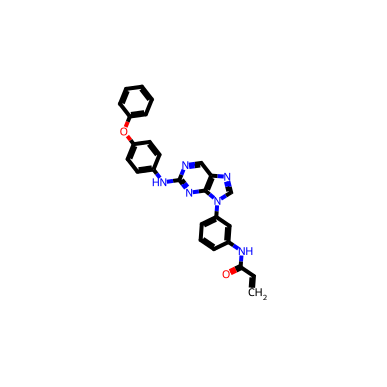 C=CC(=O)Nc1cccc(-n2cnc3cnc(Nc4ccc(Oc5ccccc5)cc4)nc32)c1